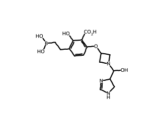 O=C(O)c1c(OC2CN(C(O)C3CNC=N3)C2)ccc(CCB(O)O)c1O